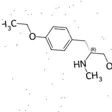 CCOc1ccc(C[C@H](CO)NC)cc1